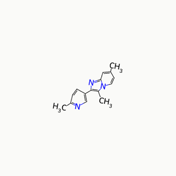 Cc1ccn2c(C)c(-c3ccc(C)nc3)nc2c1